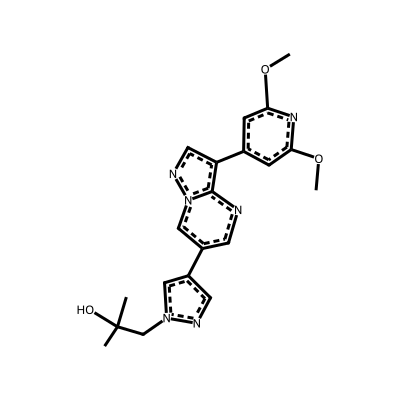 COc1cc(-c2cnn3cc(-c4cnn(CC(C)(C)O)c4)cnc23)cc(OC)n1